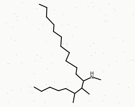 CCCCCCCCCCCC(NC)C(C)C(C)CCCCC